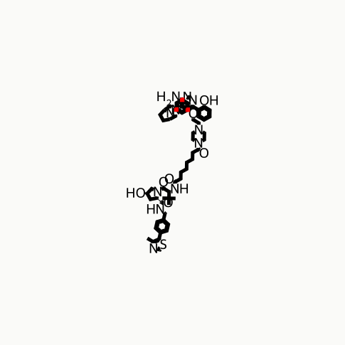 Cc1ncsc1-c1ccc(CNC(=O)[C@@H]2C[C@@H](O)CN2C(=O)[C@H](NC(=O)CCCCCCC(=O)N2CCN(CCOc3cccc(N4C5CCC4CN(c4cc(-c6ccccc6O)nnc4N)C5)c3)CC2)C(C)(C)C)cc1